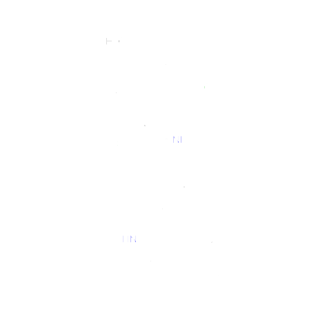 Cc1cc(Cl)c(NCCc2c[nH]c3ccccc23)c(Cl)c1